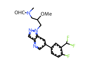 COC(CN(C)C=O)Cn1ncc2ncc(-c3ccc(F)c(C(F)F)c3)cc21